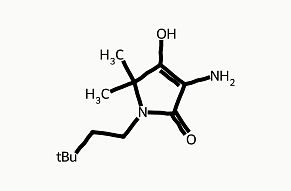 CC(C)(C)CCN1C(=O)C(N)=C(O)C1(C)C